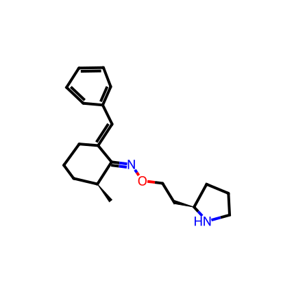 C[C@H]1CCCC(=C\c2ccccc2)/C1=N/OCC[C@H]1CCCN1